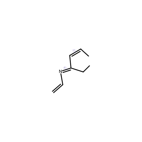 C=C/N=C(/C=C\C)CC